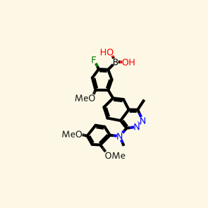 COc1ccc(N(C)c2nnc(C)c3cc(-c4cc(B(O)O)c(F)cc4OC)ccc23)c(OC)c1